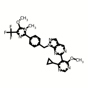 COc1ncnc(C2CC2)c1-c1ncc2cnn(Cc3ccc(-c4nc(C(F)(F)F)c(OC)n4C)cc3)c2n1